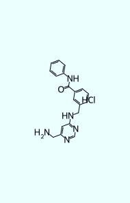 Cl.NCc1cc(NCc2cccc(C(=O)Nc3ccccc3)c2)ncn1